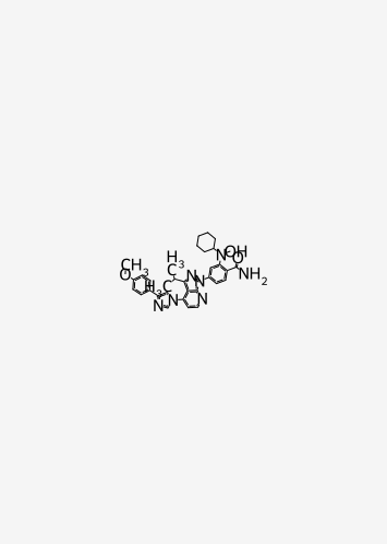 COc1ccc(-c2cn(-c3ccnc4c3c(C(C)C)nn4-c3ccc(C(N)=O)c(N(O)C4CCCCC4)c3)cn2)cc1